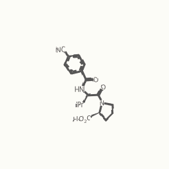 CC(C)C(NC(=O)c1ccc(C#N)cc1)C(=O)N1CCC[C@H]1C(=O)O